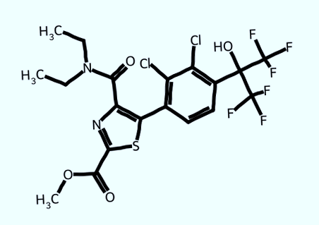 CCN(CC)C(=O)c1nc(C(=O)OC)sc1-c1ccc(C(O)(C(F)(F)F)C(F)(F)F)c(Cl)c1Cl